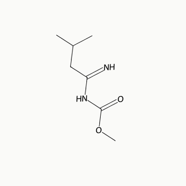 COC(=O)NC(=N)CC(C)C